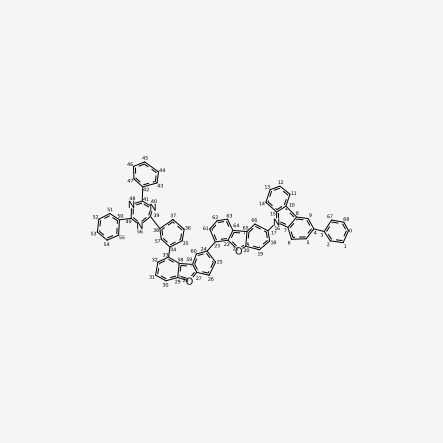 c1ccc(-c2ccc3c(c2)c2ccccc2n3-c2ccc3oc4c(-c5ccc6oc7cccc(-c8cccc(-c9nc(-c%10ccccc%10)nc(-c%10ccccc%10)n9)c8)c7c6c5)cccc4c3c2)cc1